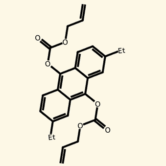 C=CCOC(=O)Oc1c2ccc(CC)cc2c(OC(=O)OCC=C)c2cc(CC)ccc12